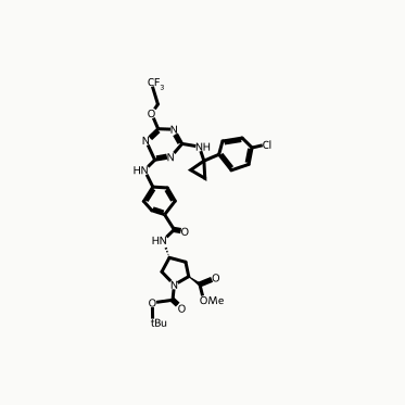 COC(=O)[C@@H]1C[C@@H](NC(=O)c2ccc(Nc3nc(NC4(c5ccc(Cl)cc5)CC4)nc(OCC(F)(F)F)n3)cc2)CN1C(=O)OC(C)(C)C